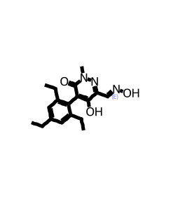 CCc1cc(CC)c(-c2c(O)c(/C=N/O)nn(C)c2=O)c(CC)c1